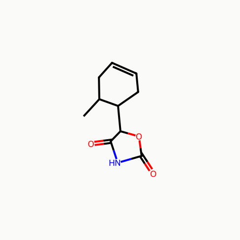 CC1CC=CCC1C1OC(=O)NC1=O